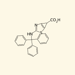 O=C(O)C1c2nc(NC(c3ccccc3)(c3ccccc3)c3ccccc3)sc21